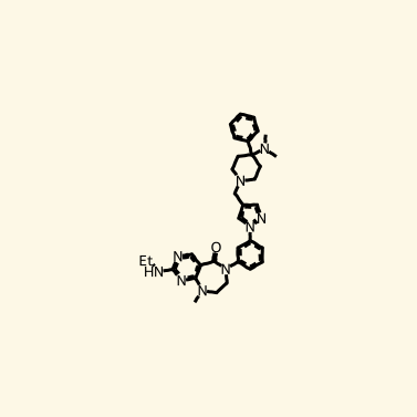 CCNc1ncc2c(n1)N(C)CCN(c1cccc(-n3cc(CN4CCC(c5ccccc5)(N(C)C)CC4)cn3)c1)C2=O